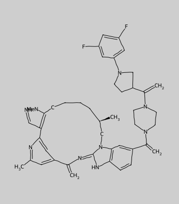 C=C1/N=C2\Nc3ccc(C(=C)N4CCN(C(=C)C5CCN(c6cc(F)cc(F)c6)C5)CC4)cc3N2C[C@H](C)CCCC/C(NC)=C(/C=N)c2cc1cc(C)n2